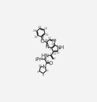 C=C(NC(C(=O)N1CCCC1)C(C)C)c1c[nH]c2ncc(Oc3ccccc3)nc12